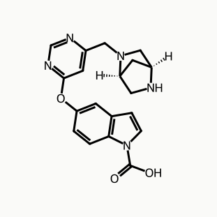 O=C(O)n1ccc2cc(Oc3cc(CN4C[C@@H]5C[C@H]4CN5)ncn3)ccc21